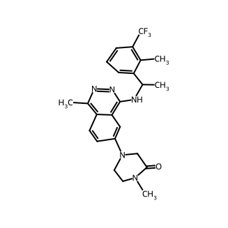 Cc1c(C(C)Nc2nnc(C)c3ccc(N4CCN(C)C(=O)C4)cc23)cccc1C(F)(F)F